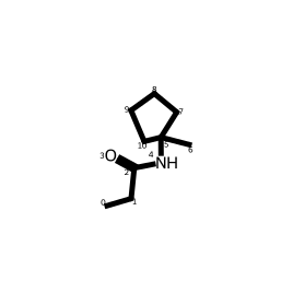 CCC(=O)NC1(C)CCCC1